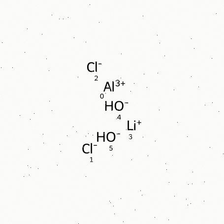 [Al+3].[Cl-].[Cl-].[Li+].[OH-].[OH-]